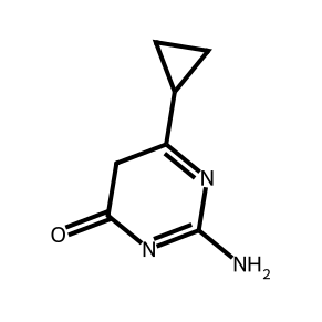 NC1=NC(=O)CC(C2CC2)=N1